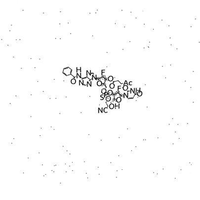 CC(=O)CCC(=O)O[C@H]1[C@@H](F)[C@H](n2cnc3c(NC(=O)c4ccccc4)ncnc32)O[C@@H]1COP(=S)(OCCC#N)O[C@H]1[C@@H](F)[C@H](n2ccc(=O)[nH]c2=O)O[C@@H]1CO